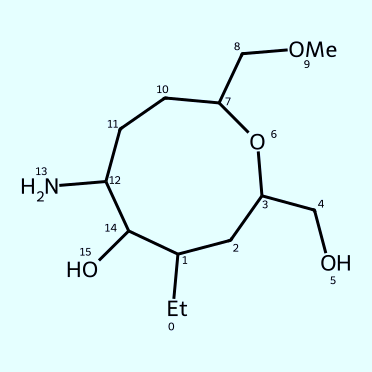 CCC1CC(CO)OC(COC)CCC(N)C1O